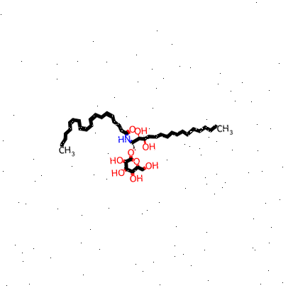 CCCCC/C=C\C/C=C\C/C=C\C/C=C\CCCC(=O)N[C@@H](COC1OC(CO)C(O)C(O)C1O)[C@H](O)[C@H](O)CCCCCCCCCCCCCC